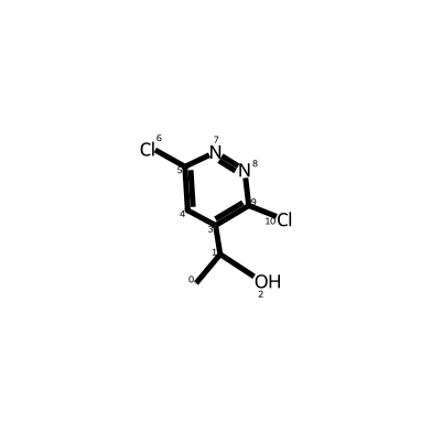 CC(O)c1cc(Cl)nnc1Cl